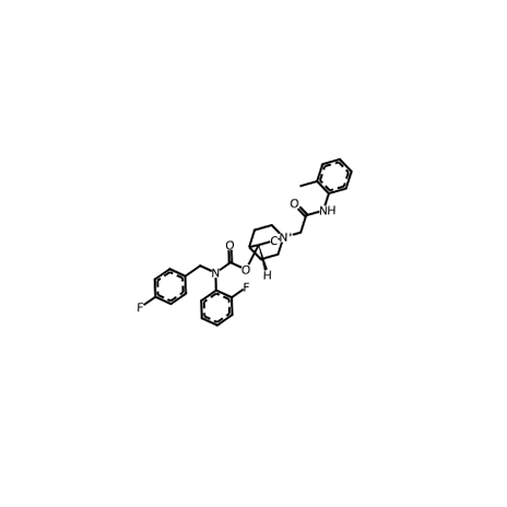 Cc1ccccc1NC(=O)C[N+]12CCC(CC1)[C@@H](OC(=O)N(Cc1ccc(F)cc1)c1ccccc1F)C2